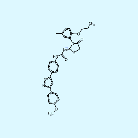 Cc1ccc(OCCC(F)(F)F)c(N2C(=O)CS/C2=N\C(=O)Nc2ccc(-c3cn(-c4ccc(OC(F)(F)F)cc4)nn3)cc2)c1